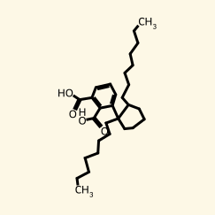 CCCCCCCCC1CCCCC1(CCCCCCCC)c1cccc(C(=O)O)c1C(=O)O